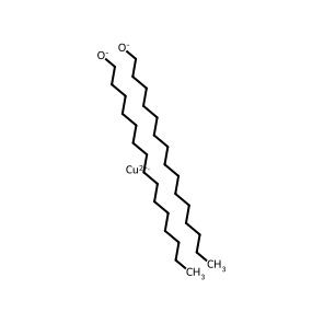 CCCCCCCCCCCCCCC[O-].CCCCCCCCCCCCCCC[O-].[Cu+2]